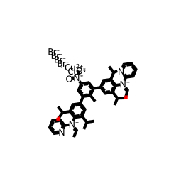 CC=[N+](c1ccccn1)c1c(C(C)C)cc(-c2cc([N+](=O)[O-])cc(-c3cc(C(C)C)c([N+](=CC)c4ccccn4)c(C(C)C)c3)c2C)cc1C(C)C.[Br-].[Br-].[Br-].[Br-].[Cu+2].[Cu+2]